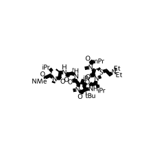 CCCC(=O)N(C)[C@H](CSCCN(CC)CC)C(=O)N(C)[C@@H](CC(C)C)C(=O)N[C@](C)(C(=O)N(C)[C@@H](C(=O)N[C@@H](C)C(=O)N[C@H](C)C(=O)N(C)[C@@H](CC(C)C)C(=O)NC)C(C)C(C)C)C(C)(C)C